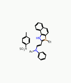 CCS1=C(C=CN(C(C)=O)c2ccccc2)Nc2c1ccc1ccccc21.Cc1ccc(S(=O)(=O)O)cc1